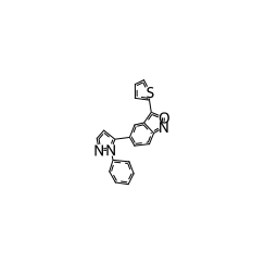 c1ccc(-n2nccc2-c2ccc3noc(-c4cccs4)c3c2)cc1